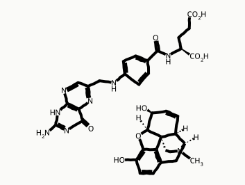 CN1CC[C@]23c4c5ccc(O)c4O[C@H]2[C@@H](O)C=C[C@H]3[C@H]1C5.Nc1nc(=O)c2nc(CNc3ccc(C(=O)N[C@@H](CCC(=O)O)C(=O)O)cc3)cnc2[nH]1